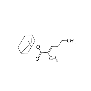 CCCC=C(C)C(=O)OC12CC3CC(CC(C3)C1)C2